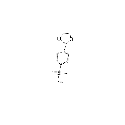 C=CC[Si](C)(C)c1ccc(C2OCCO2)cc1